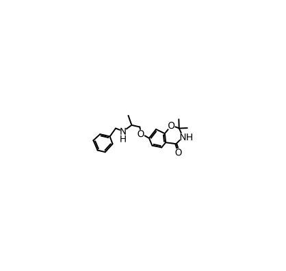 CC(COc1ccc2c(c1)OC(C)(C)NC2=O)NCc1ccccc1